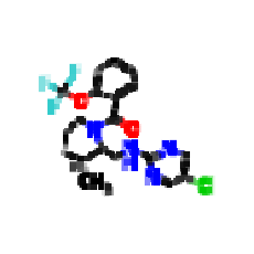 C[C@@H]1CCCN(C(=O)c2ccccc2OC(F)(F)F)C1CNc1ncc(Cl)cn1